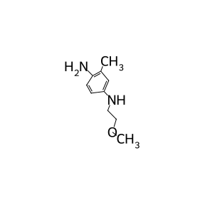 COCCNc1ccc(N)c(C)c1